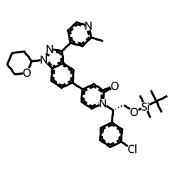 Cc1cc(-c2nn(C3CCCCO3)c3ccc(-c4ccn([C@H](CO[Si](C)(C)C(C)(C)C)c5cccc(Cl)c5)c(=O)c4)cc23)ccn1